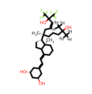 [2H]C([2H])([2H])C(O)(CCC[C@](C)(C/C=C\C(O)(C(F)(F)F)C(F)(F)F)[C@H]1CCC2/C(=C/C=C3C[C@@H](O)C[C@H](O)C3)CCC[C@@]21C)C([2H])([2H])[2H]